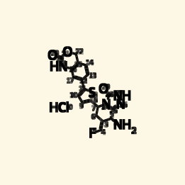 Cl.NC/C(=C/F)CC(c1ccc(-c2ccc3c(c2)NC(=O)OC3)s1)n1cn[nH]c1=O